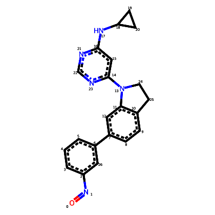 O=Nc1cccc(-c2ccc3c(c2)N(c2cc(NC4CC4)ncn2)CC3)c1